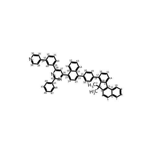 CC1(C)c2ccc3ccccc3c2-c2cccc(-c3ccc(-c4ccc(-c5cc(-c6cccc(-c7ccncc7)c6)nc(-c6ccccc6)n5)c5ccccc45)cc3)c21